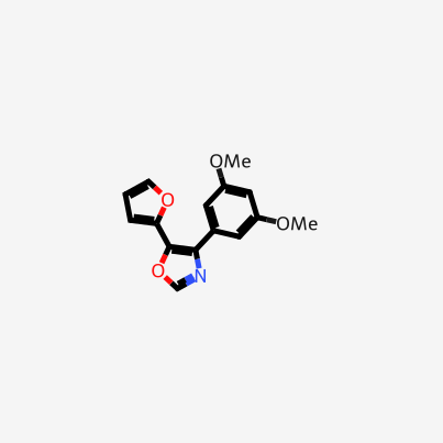 COc1cc(OC)cc(-c2ncoc2-c2ccco2)c1